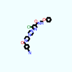 N#Cc1ccc(C(=O)N2CCC(N3CCN(c4ncc(C(=O)NCCOc5ccccc5)cc4Cl)CC3)CC2)cc1